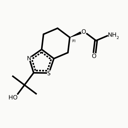 CC(C)(O)c1nc2c(s1)C[C@H](OC(N)=O)CC2